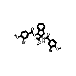 COC(=O)C1(NC(=O)c2ccc(OC)c(Br)c2)Cc2ccccc2C1OC(=O)c1ccc(OC)c(Br)c1